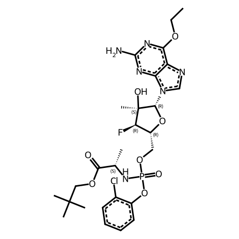 CCOc1nc(N)nc2c1ncn2[C@@H]1O[C@H](COP(=O)(N[C@@H](C)C(=O)OCC(C)(C)C)Oc2ccccc2Cl)[C@@H](F)[C@@]1(C)O